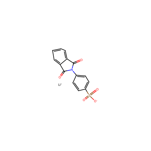 O=C1c2ccccc2C(=O)N1c1ccc(S(=O)(=O)[O-])cc1.[Li+]